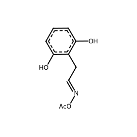 CC(=O)ON=CCc1c(O)cccc1O